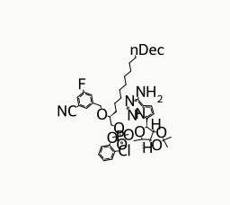 CCCCCCCCCCCCCCCCCCC[C@@H](COP(=O)(OC[C@@]1(C)O[C@@H](c2ccc3c(N)ncnn23)[C@@H]2OC(C)(C)O[C@@H]21)Oc1ccccc1Cl)OCc1cc(F)cc(C#N)c1